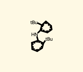 CC(C)(C)c1ccccc1Nc1ccccc1C(C)(C)C